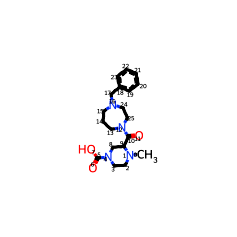 CN1CCN(C(=O)O)CC1C(=O)N1CCCN(Cc2ccccc2)CC1